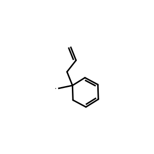 [CH2]C1(CC=C)C=CC=CC1